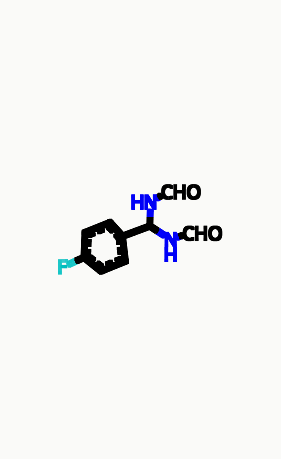 O=CNC(NC=O)c1ccc(F)cc1